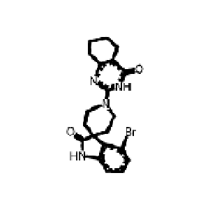 O=C1Nc2cccc(Br)c2C12CCN(c1nc3c(c(=O)[nH]1)CCCC3)CC2